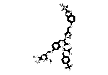 CC1(C)O[C@@H](CF)[C@H](COc2ccc(C[C@H](C(=O)N[C@@H](Cc3ccc(C(F)(F)F)cc3)C(=O)O)n3cc(COc4ccc5nc(S(N)(=O)=O)sc5c4)nn3)cc2)O1